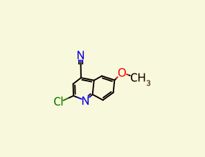 COc1ccc2nc(Cl)cc(C#N)c2c1